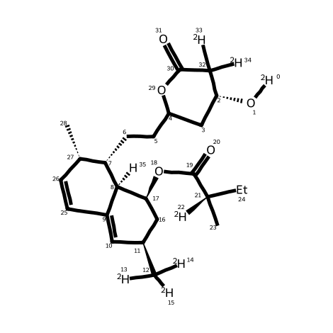 [2H]O[C@@H]1CC(CC[C@@H]2[C@@H]3C(=C[C@H](C([2H])([2H])[2H])C[C@@H]3OC(=O)[C@@]([2H])(C)CC)C=C[C@@H]2C)OC(=O)C1([2H])[2H]